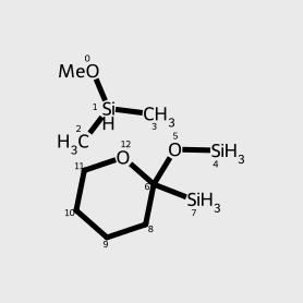 CO[SiH](C)C.[SiH3]OC1([SiH3])CCCCO1